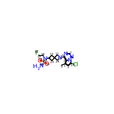 Cc1cc(Cl)n2ncnc(N3CC4(CC(N(CCF)S(N)(=O)=O)C4)C3)c12